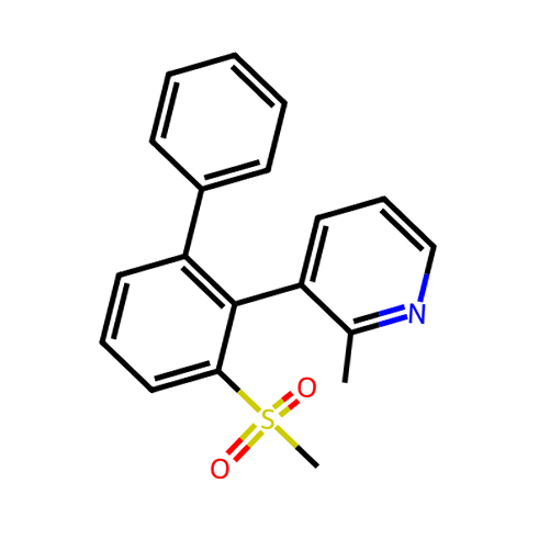 Cc1ncccc1-c1c(-c2ccccc2)cccc1S(C)(=O)=O